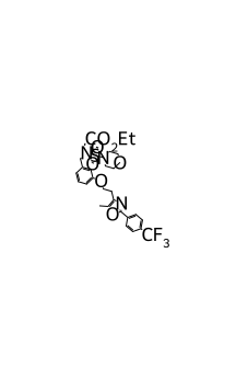 CCOC(=O)CN(Cc1cccc(OCCc2nc(-c3ccc(C(F)(F)F)cc3)oc2C)c1)S(=O)(=O)N1CCOCC1